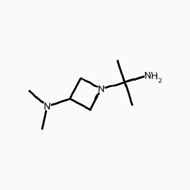 CN(C)C1CN(C(C)(C)N)C1